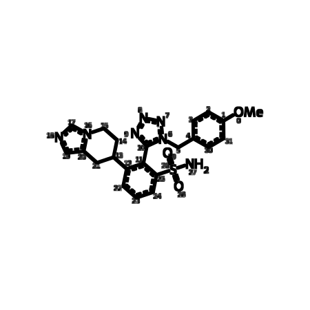 COc1ccc(Cn2nnnc2-c2c(C3CCn4cncc4C3)cccc2S(N)(=O)=O)cc1